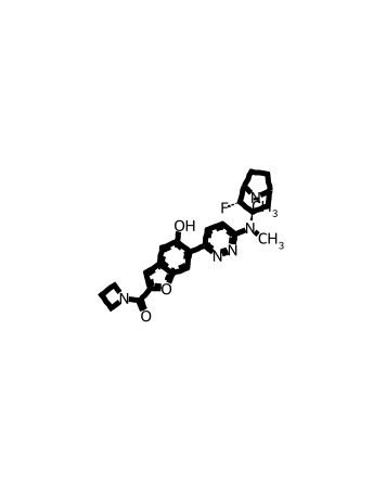 CN1C2CCC1[C@@H](F)[C@@H](N(C)c1ccc(-c3cc4oc(C(=O)N5CCC5)cc4cc3O)nn1)C2